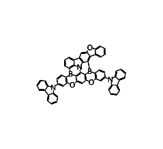 c1ccc2c(c1)oc1cc3c4cccc5c4n4c3c(c12)B1c2ccc(-n3c6ccccc6c6ccccc63)cc2Oc2cc3c(c-4c21)B5c1ccc(-n2c4ccccc4c4ccccc42)cc1O3